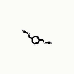 N#COCC1=CCC(COC#N)=CC=C1